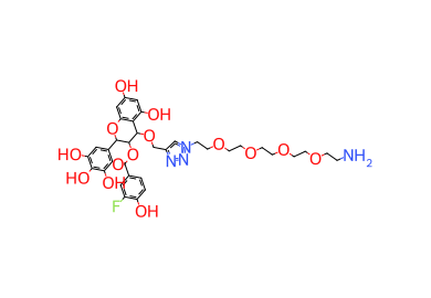 NCCOCCOCCOCCOCCn1cc(COC2c3c(O)cc(O)cc3OC(c3cc(O)c(O)c(O)c3)C2OC(=O)c2ccc(O)c(F)c2)nn1